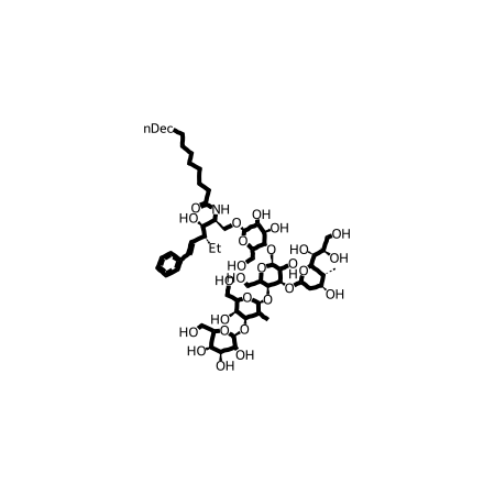 CCCCCCCCCCCCCCCCCC(=O)N[C@@H](CO[C@@H]1OC(CO)[C@@H](O[C@@H]2OC(CO)[C@H](O[C@@H]3OC(CO)[C@H](O)[C@H](O[C@@H]4OC(CO)[C@H](O)[C@H](O)C4O)C3C)[C@H](OC3C[C@@H](O)[C@@H](C)C([C@H](O)[C@H](O)CO)O3)C2O)[C@H](O)C1O)[C@H](O)[C@@H](/C=C/c1ccccc1)CC